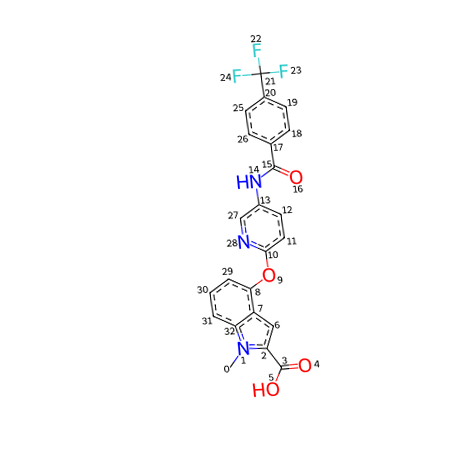 Cn1c(C(=O)O)cc2c(Oc3ccc(NC(=O)c4ccc(C(F)(F)F)cc4)cn3)cccc21